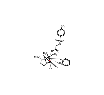 CO[C@@H]1CC[C@@]23CC[C@@H](C)[C@@](C)([C@H](OC(=O)COS(=O)(=O)c4ccc(C)cc4)C[C@@](C)(Cc4ccccc4)C(=O)[C@@H]2C)[C@@H]13